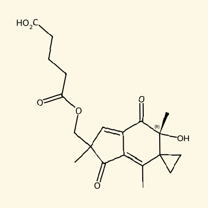 CC1=C2C(=O)C(C)(COC(=O)CCCC(=O)O)C=C2C(=O)[C@](C)(O)C12CC2